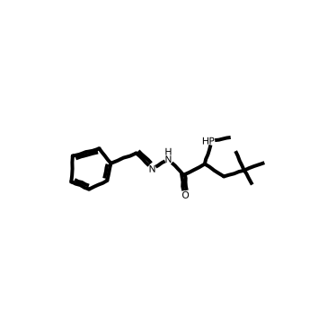 CPC(CC(C)(C)C)C(=O)N/N=C/c1ccccc1